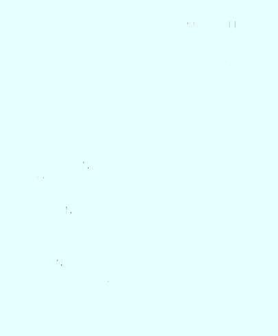 CS(=O)(=O)c1ccc(C2CC3(C2)CN(C(=O)N2CC4(COC(=O)N4)C2)C3)cc1